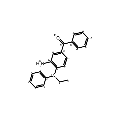 CCN(c1ccccc1)c1ccc(C(=O)c2ccccc2)cc1N